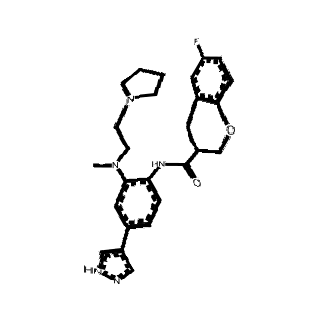 CN(CCN1CCCC1)c1cc(-c2cn[nH]c2)ccc1NC(=O)C1COc2ccc(F)cc2C1